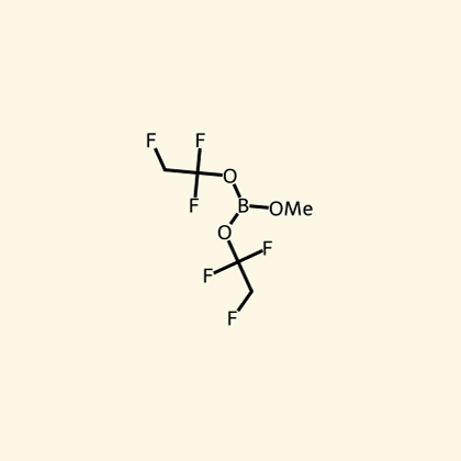 COB(OC(F)(F)CF)OC(F)(F)CF